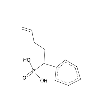 C=CCCC(c1ccccc1)P(=O)(O)O